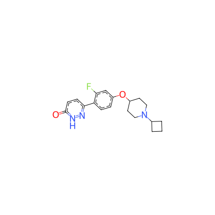 O=c1ccc(-c2ccc(OC3CCN(C4CCC4)CC3)cc2F)n[nH]1